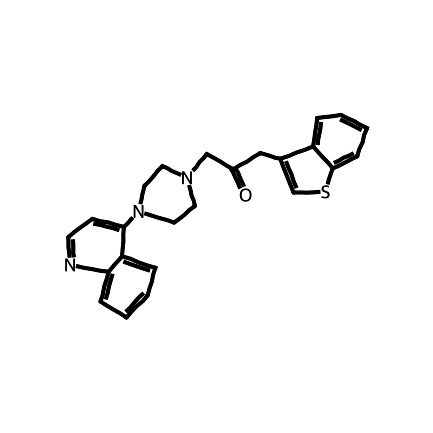 O=C(Cc1csc2ccccc12)CN1CCN(c2ccnc3ccccc23)CC1